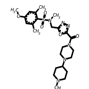 COc1cc(C)c(S(=O)(=O)N(C)Cc2nnc(C(=O)N3CCN(C4CCN(C)CC4)CC3)o2)c(C)c1